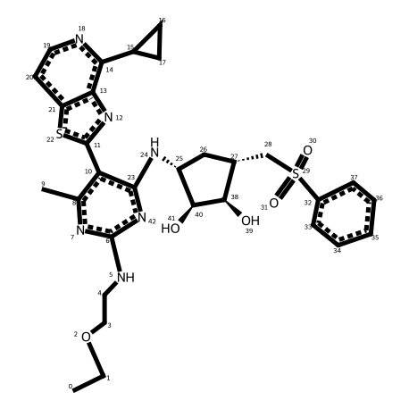 CCOCCNc1nc(C)c(-c2nc3c(C4CC4)nccc3s2)c(N[C@@H]2C[C@H](CS(=O)(=O)c3ccccc3)[C@@H](O)[C@H]2O)n1